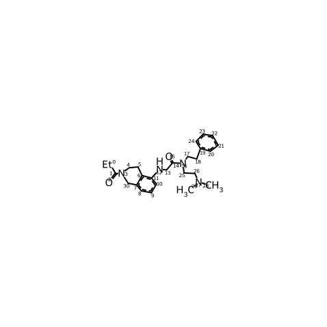 CCC(=O)N1CCc2c(cccc2NCC(=O)N(CCc2ccccc2)CCN(C)C)C1